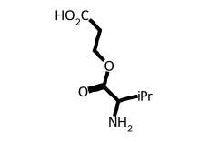 CC(C)C(N)C(=O)OCCC(=O)O